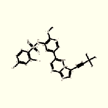 COc1ncc(-c2cnc3ncc(C#CC(C)(C)C)n3n2)cc1NS(=O)(=O)c1ccc(F)cc1F